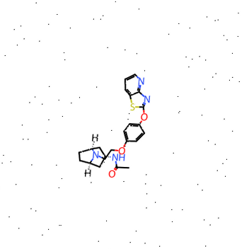 CC(=O)N[C@@H]1C[C@H]2CC[C@@H](C1)N2CCOc1ccc(Oc2nc3ncccc3s2)cc1